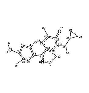 COc1cc(C)c(-c2nccc3c2nc(C)c(=O)n3C(C)C2CC2)cc1C